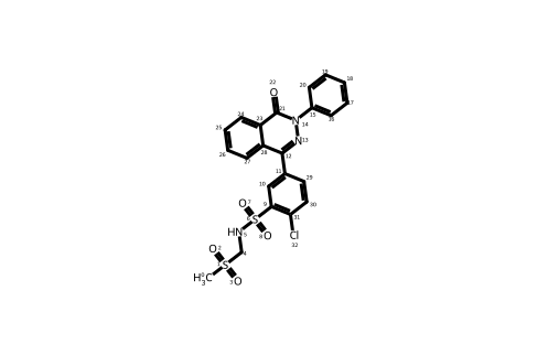 CS(=O)(=O)CNS(=O)(=O)c1cc(-c2nn(-c3ccccc3)c(=O)c3ccccc23)ccc1Cl